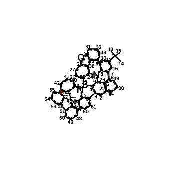 Cc1cc2c3c(c1)N(c1ccc(C(C)(C)C)cc1-c1ccccc1)c1c(ccc4oc5ccccc5c14)B3N1c3ccccc3[Si]3(c4ccccc4-c4ccccc43)c3cccc-2c31